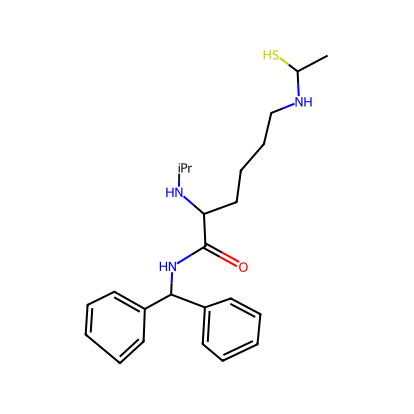 CC(C)NC(CCCCNC(C)S)C(=O)NC(c1ccccc1)c1ccccc1